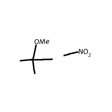 COC(C)(C)C.C[N+](=O)[O-]